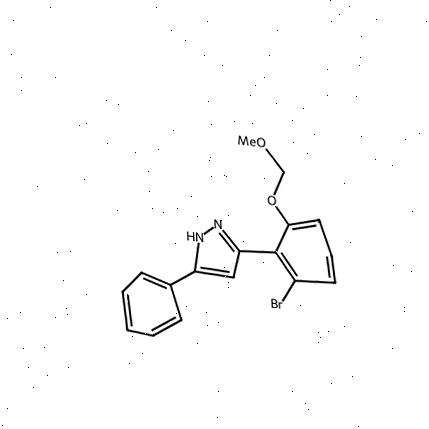 COCOc1cccc(Br)c1-c1cc(-c2ccccc2)[nH]n1